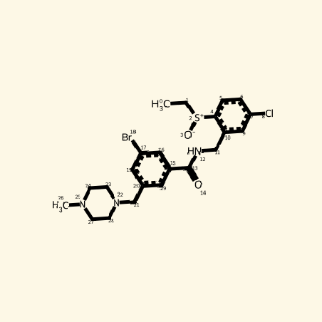 CC[S+]([O-])c1ccc(Cl)cc1CNC(=O)c1cc(Br)cc(CN2CCN(C)CC2)c1